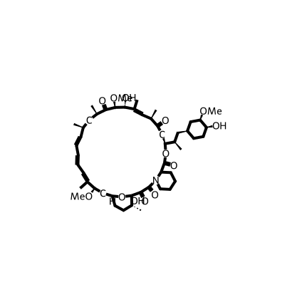 CO[C@@H]1C(=O)[C@H](C)C[C@H](C)/C=C/C=C/C=C(\C)[C@H](OC)C[C@@H]2CC[C@@H](C)[C@@](O)(O2)C(=O)C(=O)N2CCCCC2C(=O)O[C@H]([C@H](C)C[C@@H]2CC[C@H](O)[C@H](OC)C2)CC(=O)[C@H](C)/C=C(\C)[C@H]1O